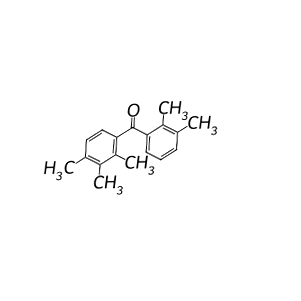 Cc1cccc(C(=O)c2ccc(C)c(C)c2C)c1C